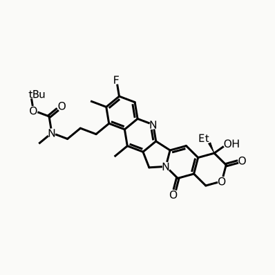 CC[C@@]1(O)C(=O)OCc2c1cc1n(c2=O)Cc2c-1nc1cc(F)c(C)c(CCCN(C)C(=O)OC(C)(C)C)c1c2C